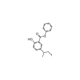 CC(CI)c1ccc(O)c(C(=O)Oc2ccccc2)c1